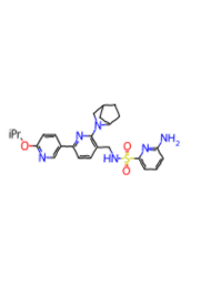 CC(C)Oc1ccc(-c2ccc(CNS(=O)(=O)c3cccc(N)n3)c(N3CC4CCC3C4)n2)cn1